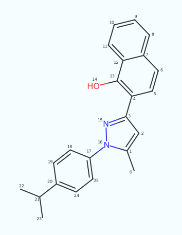 Cc1cc(-c2ccc3ccccc3c2O)nn1-c1ccc(C(C)C)cc1